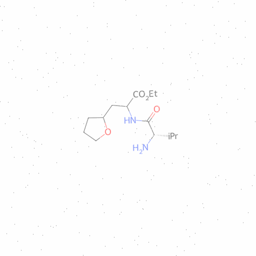 CCOC(=O)C(CC1CCCO1)NC(=O)[C@@H](N)C(C)C